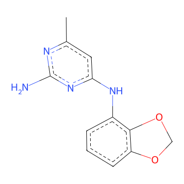 Cc1cc(Nc2cccc3c2OCO3)nc(N)n1